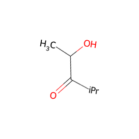 CC(C)C(=O)C(C)O